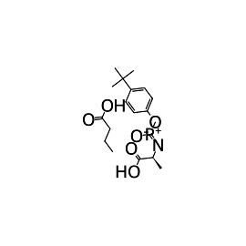 CCCC(=O)O.C[C@H](N=[P+]([O-])Oc1ccc(C(C)(C)C)cc1)C(=O)O